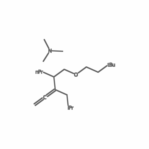 CN(C)C.[CH2]C(C)(C)CCOCC(CCC)C(=C=C)CC(C)C